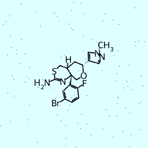 Cn1cc([C@H]2C[C@H]3CSC(N)=N[C@@]3(c3cc(Br)ccc3F)CO2)cn1